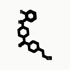 N#CCCN1CCN(C(=O)C2CCC(Nc3ccccc3F)CC2)CC1